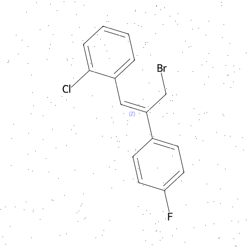 Fc1ccc(/C(=C/c2ccccc2Cl)CBr)cc1